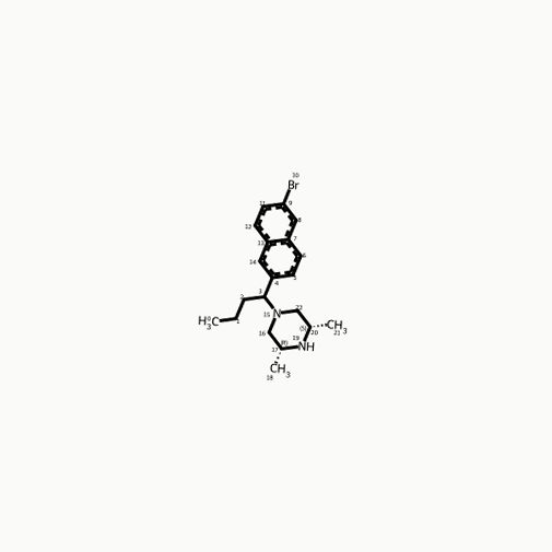 CCCC(c1ccc2cc(Br)ccc2c1)N1C[C@@H](C)N[C@@H](C)C1